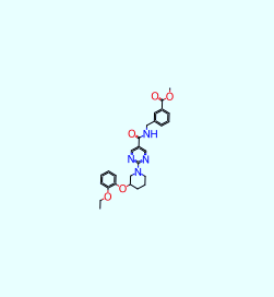 CCOc1ccccc1OC1CCCN(c2ncc(C(=O)NCc3cccc(C(=O)OC)c3)cn2)C1